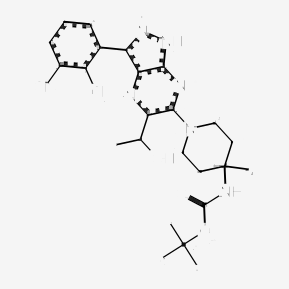 CC(O)c1nc2c(-c3cccc(Cl)c3Cl)n[nH]c2nc1N1CCC(C)(NC(=O)OC(C)(C)C)CC1